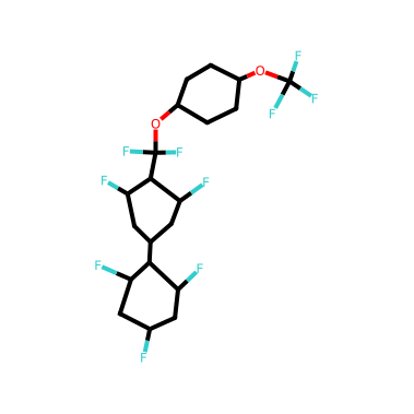 FC1CC(F)C(C2CC(F)C(C(F)(F)OC3CCC(OC(F)(F)F)CC3)C(F)C2)C(F)C1